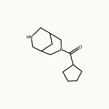 O=C(C1CCCC1)N1CC2CNCC(C2)C1